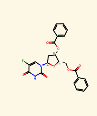 O=C(OC[C@@H]1O[C@@H](n2cc(F)c(=O)[nH]c2=O)C[C@@H]1OC(=O)c1ccccc1)c1ccccc1